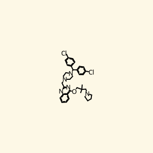 CC(C)(COc1nc(CN2CCN(C(c3ccc(Cl)cc3)c3ccc(Cl)cc3)CC2)nc2ccccc12)CN1CCCC1